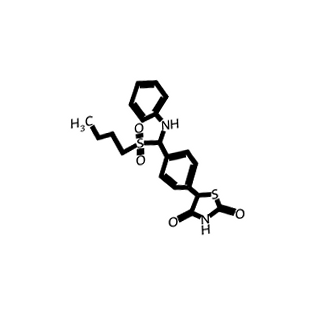 CCCCS(=O)(=O)C(Nc1ccccc1)c1ccc(C2SC(=O)NC2=O)cc1